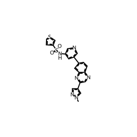 Cn1cc(-c2cnc3ccc(-c4cncc(NS(=O)(=O)c5ccsc5)c4)cc3n2)cn1